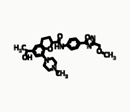 COCc1noc(-c2ccc(NC(=O)C3CCc4cc(C(C)O)cc(N5CCN(C)CC5)c4O3)cc2)n1